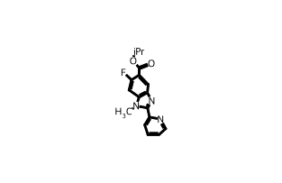 CC(C)OC(=O)c1cc2nc(-c3ccccn3)n(C)c2cc1F